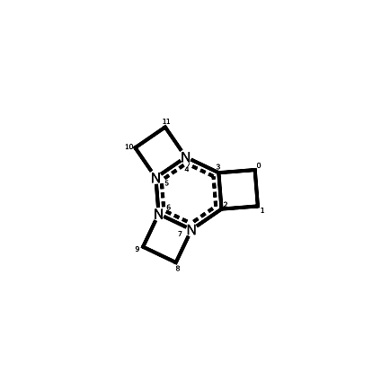 C1Cc2c1n1n(n3n2CC3)CC1